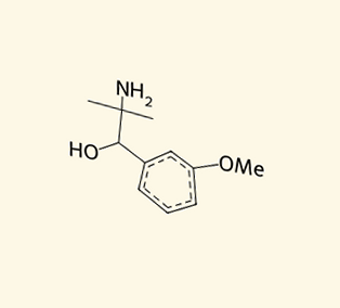 COc1cccc(C(O)C(C)(C)N)c1